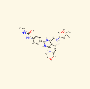 CCNC(=O)Nc1ccc(-c2nc3c(c(N4CCOC[C@@H]4C)n2)CCN(C2COC(C)(C)C2)C3)cc1